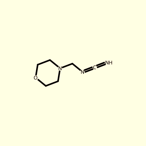 N=C=NCN1CCOCC1